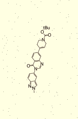 Cn1cc2cc(-n3cnc4cc(C5=CCN(C(=O)OC(C)(C)C)CC5)ccc4c3=O)ccc2n1